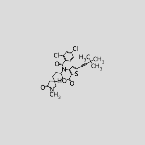 CN1CC2(CCC(N(C(=O)c3ccc(Cl)cc3Cl)c3cc(C#CC(C)(C)C)sc3C(=O)O)CC2)CC1=O